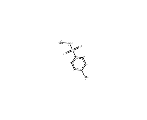 CCC(C)c1ccc(S(=O)(=O)NC(C)(C)C)cc1